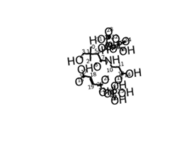 CC(C)(CO)C(O)C(=O)NCCC(=O)O.O=C(O)/C=C/C(=O)O.O=P(O)(O)O.O=P(O)(O)OP(=O)(O)O